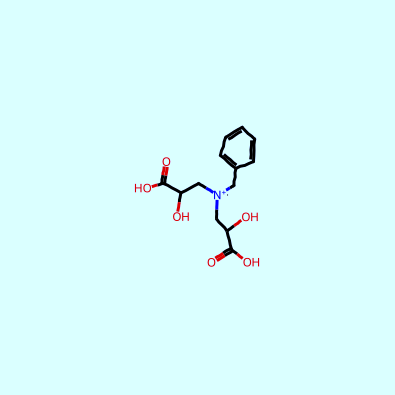 O=C(O)C(O)C[N+](Cc1ccccc1)CC(O)C(=O)O